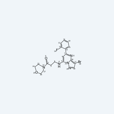 O=C(CCNc1cc(-c2ccccc2F)nc2c(Br)cnn12)N1CCOCC1